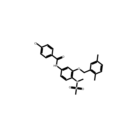 Cc1ccc(C)c(COc2cc(NC(=O)c3ccc(Cl)cc3)ccc2N(C)S(C)(=O)=O)c1